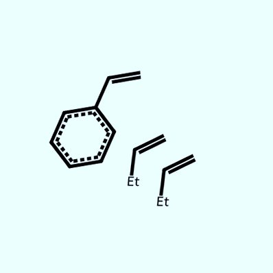 C=CCC.C=CCC.C=Cc1ccccc1